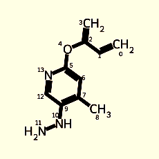 C=CC(=C)Oc1cc(C)c(NN)cn1